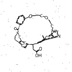 Cc1c2ccc3c1nnn3CCOCCOc1cccc(c1)C(=O)N1CCc3ccc(cc3C1)C2CC(=O)O